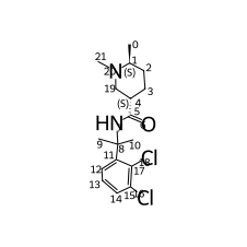 C[C@H]1CC[C@H](C(=O)NC(C)(C)c2cccc(Cl)c2Cl)CN1C